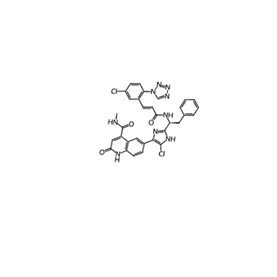 CNC(=O)c1cc(=O)[nH]c2ccc(-c3nc([C@H](Cc4ccccc4)NC(=O)/C=C/c4cc(Cl)ccc4-n4cnnn4)[nH]c3Cl)cc12